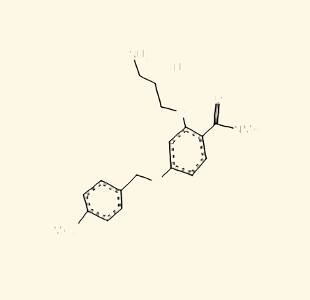 CNC(=O)c1ccc(OCc2ccc(OC)cc2)cc1OC[C@@H](O)CN